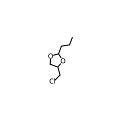 CCCC1OCC(CCl)O1